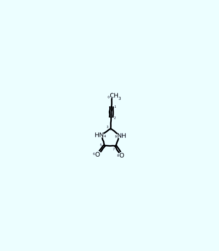 CC#C[C]1NC(=O)C(=O)N1